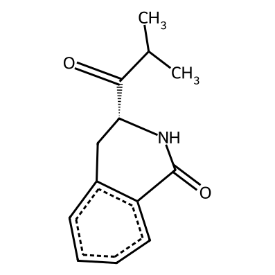 CC(C)C(=O)[C@H]1Cc2ccccc2C(=O)N1